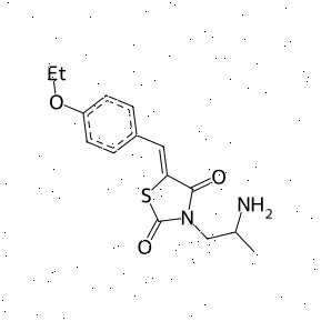 CCOc1ccc(/C=C2\SC(=O)N(CC(C)N)C2=O)cc1